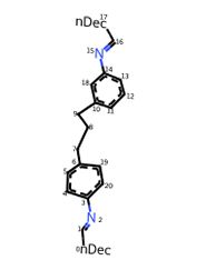 CCCCCCCCCCC=Nc1ccc(CCCc2cccc(N=CCCCCCCCCCC)c2)cc1